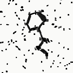 S=PNc1ccccc1